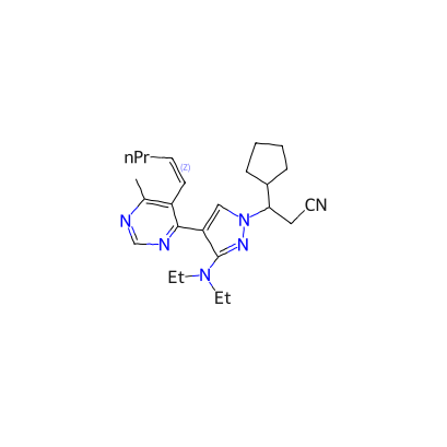 CCC/C=C\c1c(C)ncnc1-c1cn(C(CC#N)C2CCCC2)nc1N(CC)CC